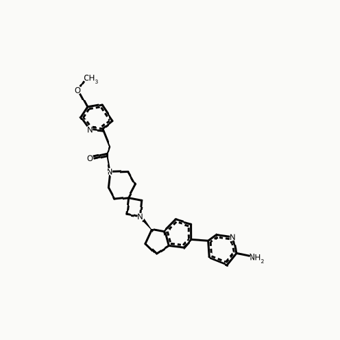 COc1ccc(CC(=O)N2CCC3(CC2)CN([C@@H]2CCc4cc(-c5ccc(N)nc5)ccc42)C3)nc1